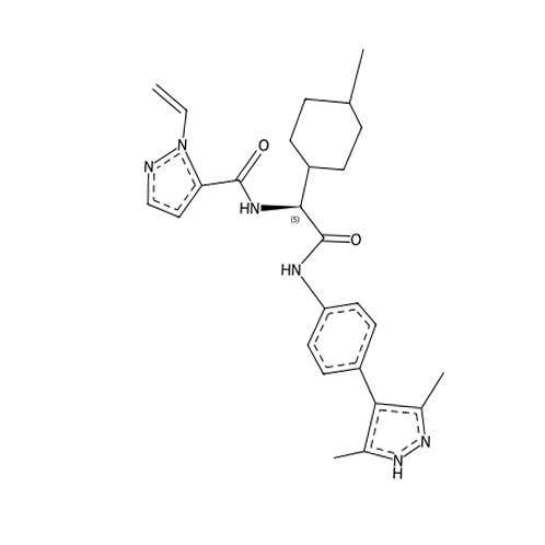 C=Cn1nccc1C(=O)N[C@H](C(=O)Nc1ccc(-c2c(C)n[nH]c2C)cc1)C1CCC(C)CC1